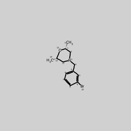 C[C@@H]1CN(Cc2cccc(Br)c2)C[C@H](C)O1